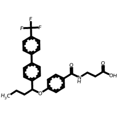 CCCC(Oc1ccc(C(=O)NCCC(=O)O)cc1)c1ccc(-c2ccc(C(F)(F)F)cc2)cc1